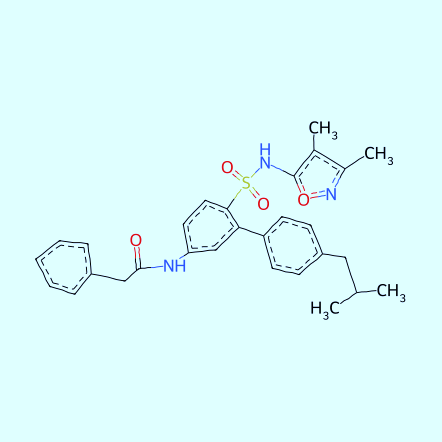 Cc1noc(NS(=O)(=O)c2ccc(NC(=O)Cc3ccccc3)cc2-c2ccc(CC(C)C)cc2)c1C